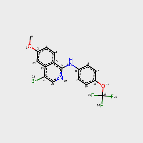 COc1ccc2c(Nc3ccc(OC(F)(F)F)cc3)ncc(Br)c2c1